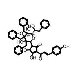 O=C(C=Cc1ccc(O)cc1)C1=C(O)C(O)C(C2O[C@H](C(O)Cc3ccccc3)[C@](O)(Cc3ccccc3)[C@@](O)(Cc3ccccc3)[C@]2(O)Cc2ccccc2)C1=O